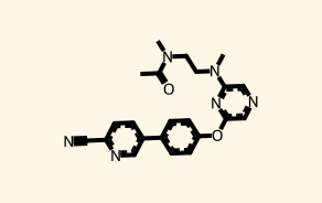 CC(=O)N(C)CCN(C)c1cncc(Oc2ccc(-c3ccc(C#N)nc3)cc2)n1